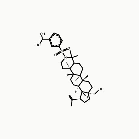 C=C(C)[C@@H]1CC[C@]2(CO)CC[C@]3(C)[C@H](CC[C@@H]4[C@@]5(C)CCN(S(=O)(=O)c6cccc(C(O)O)c6)C(C)(C)C5CC[C@]43C)[C@@H]12